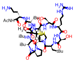 CC[C@H](C)[C@H](C)C(=O)N[C@@H](S)C(=O)N[C@@H](CO)C(=O)N[C@@H](CCCNC(=N)N)C(=O)N[C@@H](CO)C(=O)N[C@@H](CC(C)(C)C)C(=O)N1CCC[C@H]1C(=O)N1CCC[C@]12C(=O)N2[C@H](C(=O)N[C@@H](C(=O)N[C@H](C(=O)N[C@@H](CCCN)C(=O)NC(C)=O)[C@@H](C)CC)C(C)(C)S)[C@@H](C)CC